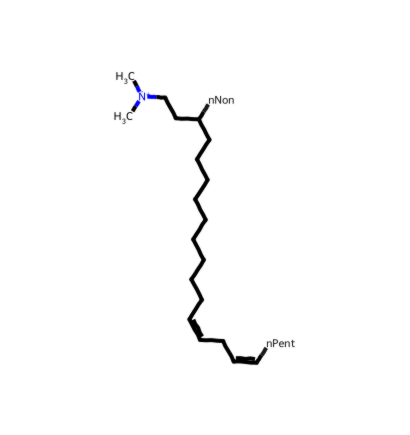 CCCCC/C=C\C/C=C\CCCCCCCCCC(CCCCCCCCC)CC[N+](C)C